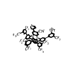 CCCc1cc(-c2ccc3c4ccc(-c5cc(C(F)(F)F)cc(C(F)(F)F)c5)cc4n(-c4cc(C#N)c(-c5ccncc5)cc4-n4c5cc(-c6cc(C(F)(F)F)cc(C(F)(F)F)c6)ccc5c5ccc(-c6cc(C(F)(F)F)cc(C(F)(F)F)c6)cc54)c3c2)cc(C(F)(F)F)c1